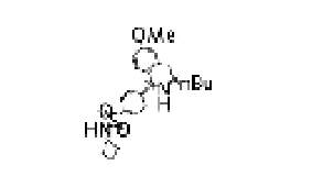 CCCC[C@H]1Cc2cc(OC)ccc2[C@H](c2ccc(S(=O)(=O)NC3CCC3)cc2)N1